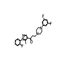 Cc1c(C(=O)CCN2CCN(c3cc(F)cc(F)c3)CC2)cnn1-c1ccccc1F